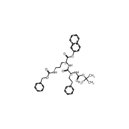 CC(C)(C)OC(=O)N[C@@H](CCc1ccccc1)C(=O)N[C@@H](CCCNC(=O)OCc1ccccc1)C(=O)Oc1ccc2ccccc2c1